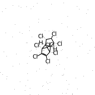 ClC1=C(Cl)[C@]2(Cl)[C@@H]3[C@@H](Cl)[C@H](Cl)[C@@H](Cl)[C@@H]3[C@@]1(Cl)C2(Cl)Cl